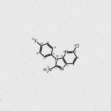 Nc1nc2ccc(Cl)nc2n1-c1ccc(F)cc1